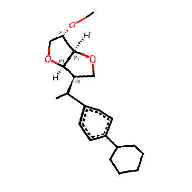 CO[C@H]1CO[C@H]2[C@@H]1OC[C@H]2C(C)c1ccc(C2CCCCC2)cc1